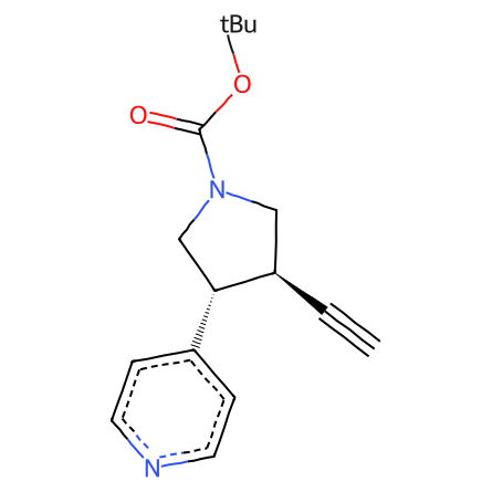 C#C[C@@H]1CN(C(=O)OC(C)(C)C)C[C@H]1c1ccncc1